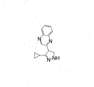 c1ccc2nc(C3CNN=C3C3CC3)cnc2c1